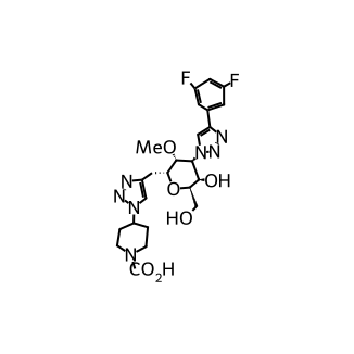 CO[C@@H]1[C@@H](n2cc(-c3cc(F)cc(F)c3)nn2)[C@@H](O)[C@@H](CO)O[C@@H]1Cc1cn(C2CCN(C(=O)O)CC2)nn1